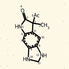 CC(=O)C1(C)C(=O)Nc2cc3c(cc21)NCN3